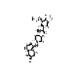 Cc1ccc(C(=O)N[C@H]2CC[C@@H](Nc3ccnc4cc(Cl)ccc34)CC2)cc1C